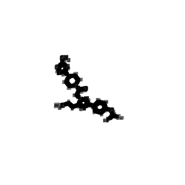 CCCc1nc(-c2ccc(OC(F)F)cc2)nn1CC(=O)N1CCN(c2noc(C)n2)CC1